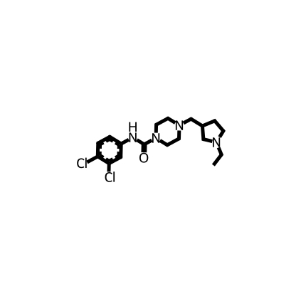 CCN1CCC(CN2CCN(C(=O)Nc3ccc(Cl)c(Cl)c3)CC2)C1